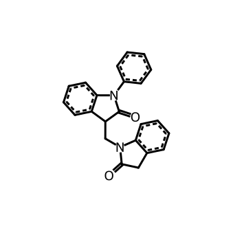 O=C1Cc2ccccc2N1CC1C(=O)N(c2ccccc2)c2ccccc21